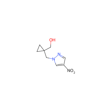 O=[N+]([O-])c1cnn(CC2(CO)CC2)c1